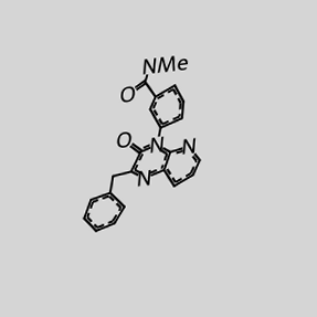 CNC(=O)c1cccc(-n2c(=O)c(Cc3ccccc3)nc3cccnc32)c1